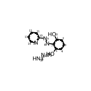 Oc1cccc(O)c1N=Nc1ccccn1.[NaH].[NaH]